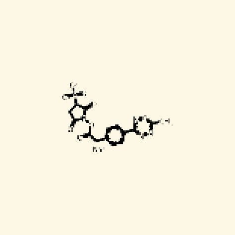 Cc1nnc(-c2ccc(CC(=O)ON3C(=O)CC(S(=O)(=O)[O-])C3=O)cc2)nn1.[Na+]